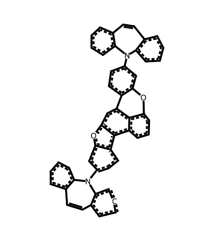 C1=Cc2ccccc2N(c2ccc3c(c2)Oc2cccc4c2c-3cc2oc3cc(N5c6ccccc6C=Cc6ccccc65)ccc3c24)c2ccccc21